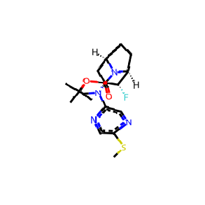 CSc1cnc(N(C)[C@@H]2C[C@H]3CC[C@@H]([C@@H]2F)N3C(=O)OC(C)(C)C)cn1